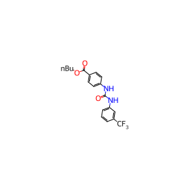 CCCCOC(=O)c1ccc(NC(=O)Nc2cccc(C(F)(F)F)c2)cc1